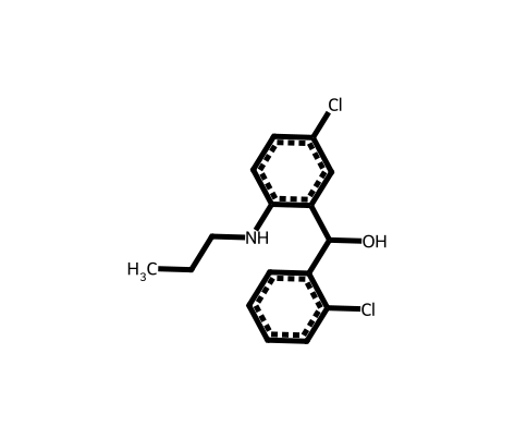 CCCNc1ccc(Cl)cc1C(O)c1ccccc1Cl